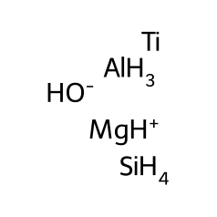 [AlH3].[MgH+].[OH-].[SiH4].[Ti]